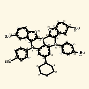 CC(C)(C)c1ccc(N2c3cc(C4CCCCC4)cc4c3B(c3oc5ccc(C(C)(C)C)cc5c32)c2oc3ccc(C(C)(C)C)cc3c2N4c2ccc(C(C)(C)C)cc2)cc1